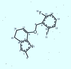 Cc1cn2c(n1)C(OCc1c(F)cccc1F)=CCC2